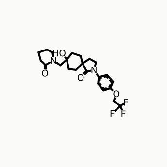 O=C1CCCCN1CC1(O)CCC2(CCN(c3ccc(OCC(F)(F)F)cc3)C2=O)CC1